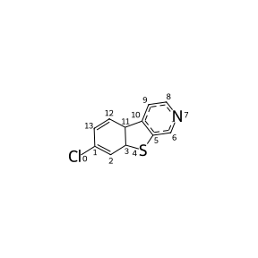 ClC1=CC2Sc3cnccc3C2C=C1